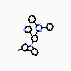 Cc1ccc2c(c1)c1ccccc1n2-c1ccc(-c2nc(-c3ccccc3)nc(-c3ccccc3)n2)c(-c2cccnc2)c1